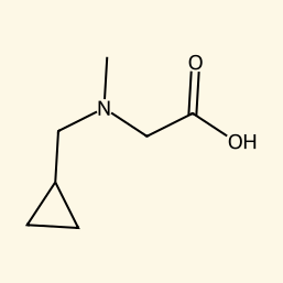 CN(CC(=O)O)CC1CC1